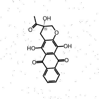 CC(=O)[C@@]1(O)COc2c(O)c3c(c(O)c2C1)C(=O)c1ccccc1C3=O